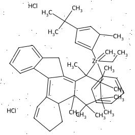 Cl.Cl.[CH2]=[Zr]([CH2]C)([C]1=CC(C(C)(C)C)=CC1C)([c]1ccccc1)[C]1(C)C2=C3Cc4ccccc4C3=C3C=CCCC3C2(C)C(C)(C)C(C)(C)C1(C)C